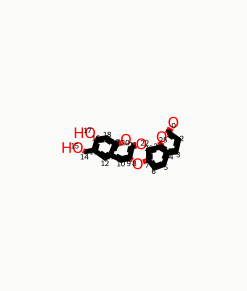 O=c1ccc2ccc(Oc3cc4cc(CO)c(O)cc4oc3=O)cc2o1